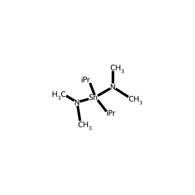 C[CH](C)[Sn]([CH](C)C)([N](C)C)[N](C)C